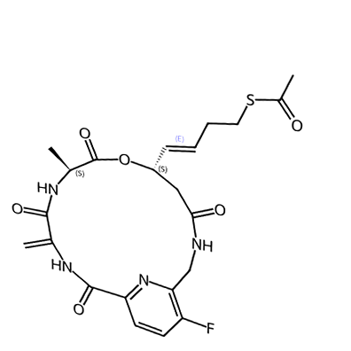 C=C1NC(=O)c2ccc(F)c(n2)CNC(=O)C[C@@H](/C=C/CCSC(C)=O)OC(=O)[C@H](C)NC1=O